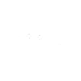 CNc1ccc(/C=C/c2ccc(OCCOCCOCC[28F])cc2)cc1